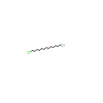 ClCCCCCCCCCCCCCCl